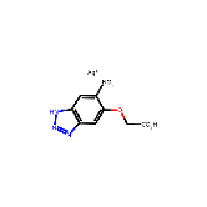 O=C(O)COc1cc2nn[nH]c2cc1[N+](=O)[O-].[Ag+]